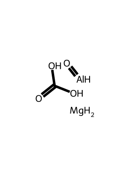 O=C(O)O.[MgH2].[O]=[AlH]